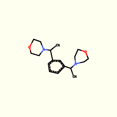 N#CC(c1cccc(C(C#N)N2CCOCC2)c1)N1CCOCC1